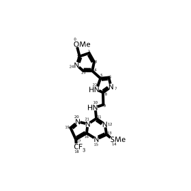 COc1ccc(-c2cnc(CNc3nc(SC)nc4c(C(F)(F)F)cnn34)[nH]2)cn1